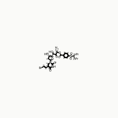 CCCN(CCC)S(=O)(=O)c1ccc(C(=O)OC(C)C(=O)C(O)[C@H]2O[C@@H](n3cc(C=CBr)c(=O)[nH]c3=O)C[C@@H]2O)cc1